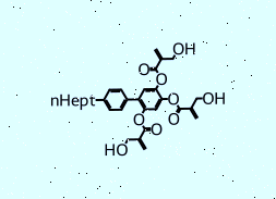 C=C(CO)C(=O)Oc1cc(OC(=O)C(=C)CO)c(-c2ccc(CCCCCCC)cc2)cc1OC(=O)C(=C)CO